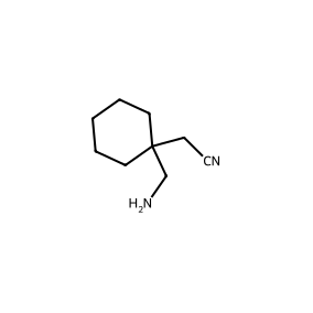 N#CCC1(CN)CCCCC1